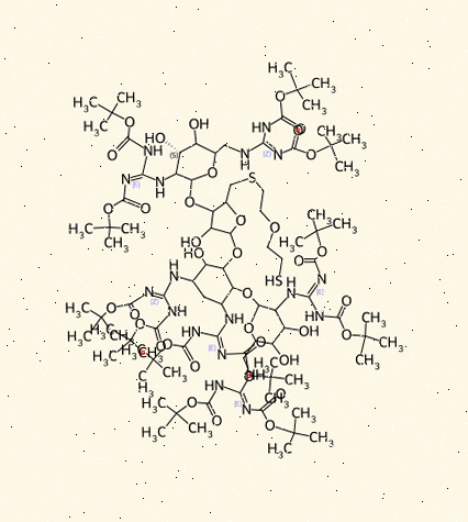 CC(C)(C)OC(=O)/N=C(/NCC1OC(OC2C(CSCCOCCS)OC(OC3C(O)C(N/C(=N/C(=O)OC(C)(C)C)NC(=O)OC(C)(C)C)CC(N/C(=N\C(=O)OC(C)(C)C)NC(=O)OC(C)(C)C)C3OC3OC(CN/C(=N\C(=O)OC(C)(C)C)NC(=O)OC(C)(C)C)C(O)C(O)C3N/C(=N\C(=O)OC(C)(C)C)NC(=O)OC(C)(C)C)C2O)C(N/C(=N\C(=O)OC(C)(C)C)NC(=O)OC(C)(C)C)[C@H](O)C1O)NC(=O)OC(C)(C)C